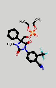 CCOP(=O)(OCC)OCC1(c2ccccc2)C(=O)N(c2ccc(C#N)c(C(F)(F)F)c2)C(=O)N1C